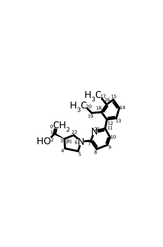 C=C(O)[C@@H]1CCN(c2cccc(-c3cccc(C)c3CC)n2)C1